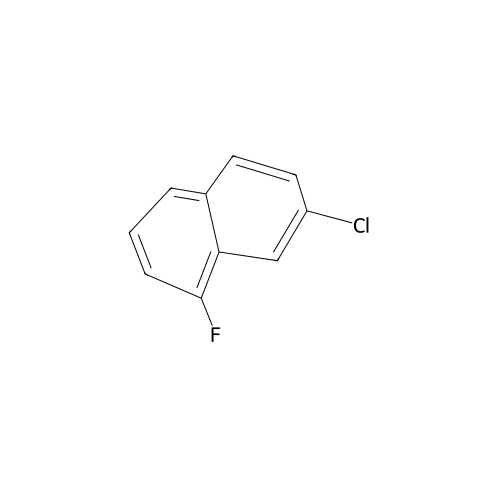 Fc1cccc2ccc(Cl)cc12